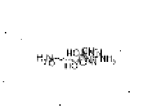 NC(=O)CCCCCC(O)[C@H]1O[C@@H](n2cnc3c(N)ncnc32)[C@H](O)[C@@H]1O